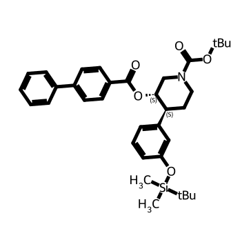 CC(C)(C)OC(=O)N1CC[C@@H](c2cccc(O[Si](C)(C)C(C)(C)C)c2)[C@H](OC(=O)c2ccc(-c3ccccc3)cc2)C1